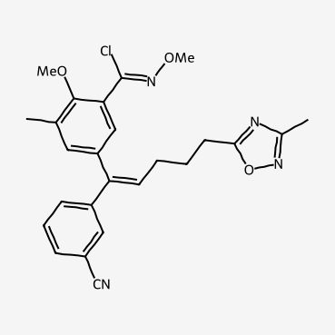 CON=C(Cl)c1cc(/C(=C\CCCc2nc(C)no2)c2cccc(C#N)c2)cc(C)c1OC